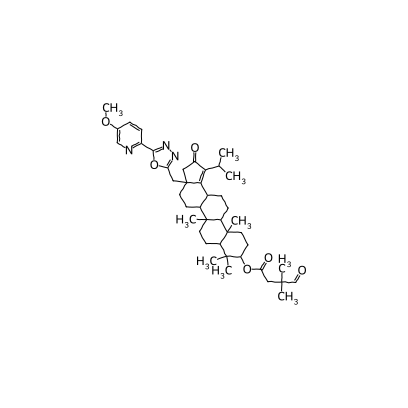 COc1ccc(-c2nnc(CC34CCC5C(CCC6C5(C)CCC5C(C)(C)C(OC(=O)CC(C)(C)C=O)CCC56C)C3=C(C(C)C)C(=O)C4)o2)nc1